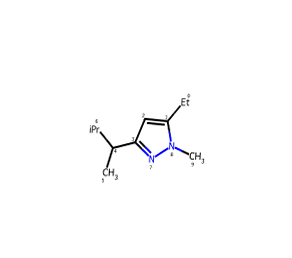 CCc1cc(C(C)C(C)C)nn1C